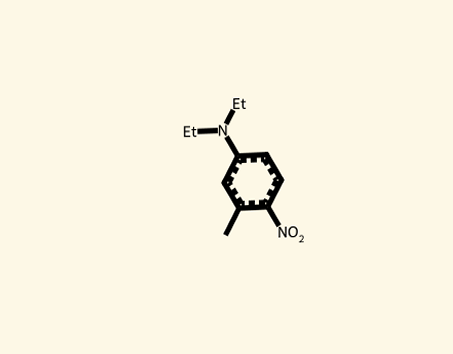 CCN(CC)c1ccc([N+](=O)[O-])c(C)c1